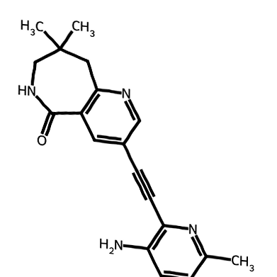 Cc1ccc(N)c(C#Cc2cnc3c(c2)C(=O)NCC(C)(C)C3)n1